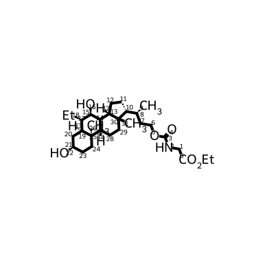 CCOC(=O)CNC(=O)OCC[C@@H](C)[C@H]1CC[C@H]2C3[C@H](O)[C@H](CC)[C@@H]4C[C@H](O)CC[C@]4(C)[C@H]3CCC12C